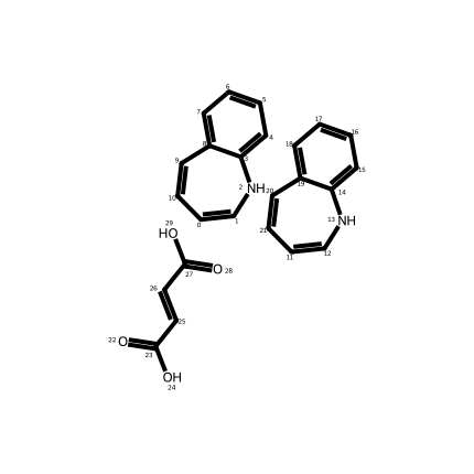 C1=CNc2ccccc2C=C1.C1=CNc2ccccc2C=C1.O=C(O)C=CC(=O)O